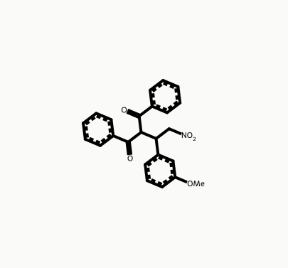 COc1cccc(C(C[N+](=O)[O-])C(C(=O)c2ccccc2)C(=O)c2ccccc2)c1